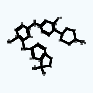 CCC1(O)CCc2ccc(Nc3nc(Nc4ccc(C5CCN(C)CC5)c(F)c4)ncc3C#N)nc21